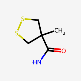 CC1(C([NH])=O)CSSC1